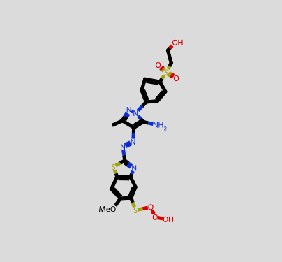 COc1cc2sc(/N=N/c3c(C)nn(-c4ccc(S(=O)(=O)CCO)cc4)c3N)nc2cc1SOOO